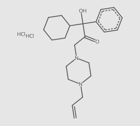 C=CCN1CCN(CC(=O)C(O)(c2ccccc2)C2CCCCC2)CC1.Cl.Cl